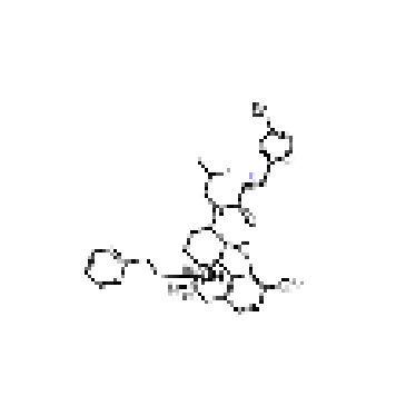 CC(C)CN(C(=O)/C=C/c1cc(Br)cs1)C1CC[C@@]2(O)[C@H]3Cc4ccc(O)c5c4[C@@]2(CCN3CCc2ccccc2)C1O5